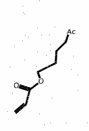 C=CC(=O)OCCCCC(C)=O